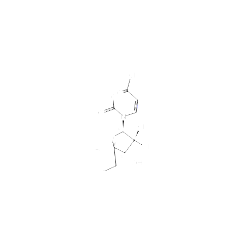 CC(=O)/C=C\N(C(C)=O)[C@@H]1O[C@](F)(CI)[C@@H](O)[C@@]1(C)Cl